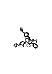 N#CC1C=CC(CCNC(C(=O)Nc2ccc(N3CCCC3)nc2)c2ccccc2)=CC1